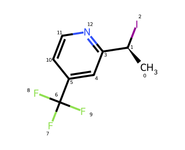 C[C@H](I)c1cc(C(F)(F)F)ccn1